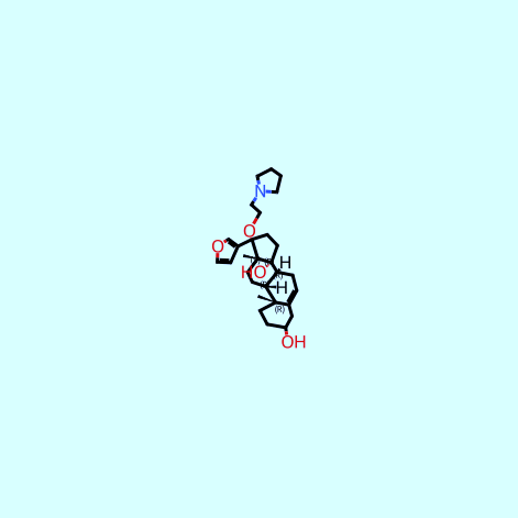 C[C@]12CCC(O)CC1=CC[C@@H]1[C@H]2CC[C@]2(C)C(OCCN3CCCC3)(c3ccoc3)CC[C@@]12O